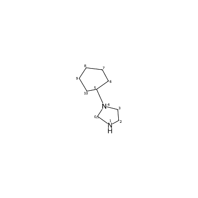 [C]1NCCN1C1CCCCC1